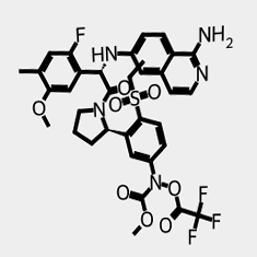 CCS(=O)(=O)c1ccc(N(OC(=O)C(F)(F)F)C(=O)OC)cc1[C@H]1CCCN1C(=O)[C@@H](Nc1ccc2c(N)nccc2c1)c1cc(OC)c(C)cc1F